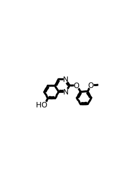 COc1ccccc1Oc1ncc2ccc(O)cc2n1